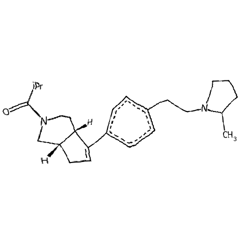 CC(C)C(=O)N1C[C@H]2CC=C(c3ccc(CCN4CCCC4C)cc3)[C@H]2C1